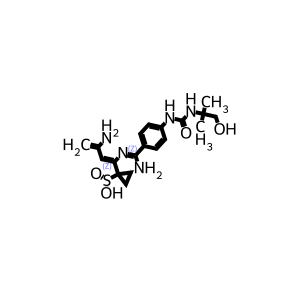 C=C(N)/C=C(\N=C(/N)c1ccc(NC(=O)NC(C)(C)CO)cc1)C1(S(=O)O)CC1